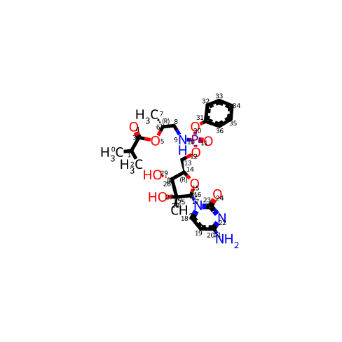 CC(C)C(=O)O[C@H](C)CNP(=O)(OC[C@H]1O[C@@H](n2ccc(N)nc2=O)[C@](C)(O)[C@@H]1O)Oc1ccccc1